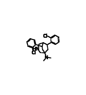 CN(C)C12CNCC(C(c3ccccc3Cl)C1)C(c1ccccc1Cl)C2